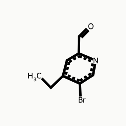 CCc1cc(C=O)ncc1Br